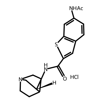 CC(=O)Nc1ccc2cc(C(=O)N[C@H]3CN4CCC3CC4)sc2c1.Cl